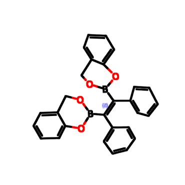 c1ccc(/C(B2OCc3ccccc3O2)=C(/B2OCc3ccccc3O2)c2ccccc2)cc1